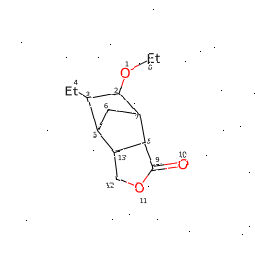 CCOC1C(CC)C2CC1C1C(=O)OCC21